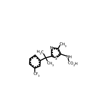 Cc1nc(C(C)(C)c2cccc(C(F)(F)F)c2)sc1NC(=O)O